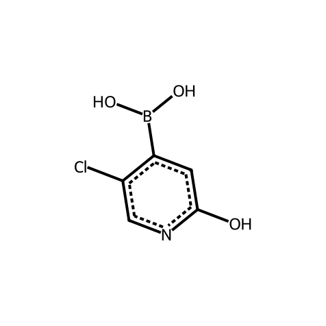 OB(O)c1cc(O)ncc1Cl